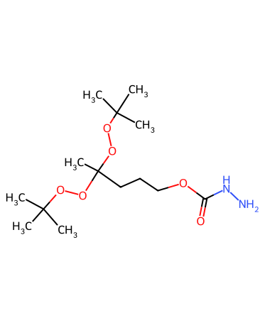 CC(C)(C)OOC(C)(CCCOC(=O)NN)OOC(C)(C)C